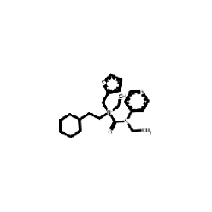 CCN(C(=O)[N+](CC)(CCC1CCCCC1)Cc1cccs1)c1ccncc1